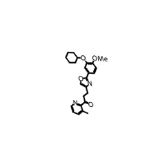 COc1ccc(-c2nc(CCC(=O)c3ncccc3C)co2)cc1OC1CCCCC1